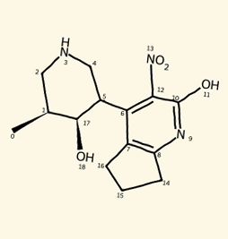 C[C@H]1CNC[C](c2c3c(nc(O)c2[N+](=O)[O-])CCC3)[C@H]1O